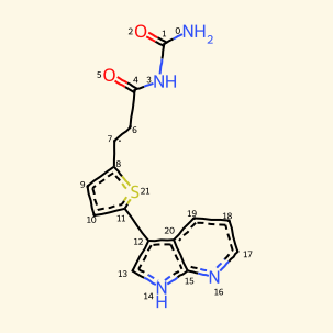 NC(=O)NC(=O)C[CH]c1ccc(-c2c[nH]c3ncccc23)s1